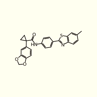 Cc1ccc2nc(-c3ccc(NC(=O)C4(c5ccc6c(c5)OCO6)CC4)cc3)sc2c1